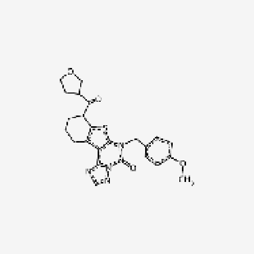 COc1ccc(Cn2c(=O)n3ncnc3c3c4c(sc32)C(C(=O)C2CCOC2)CCC4)cc1